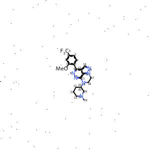 COc1cc(C(F)(F)F)ccc1-c1nnc2c3c1cnn3CCN2[C@@H]1CCCN(C)C1